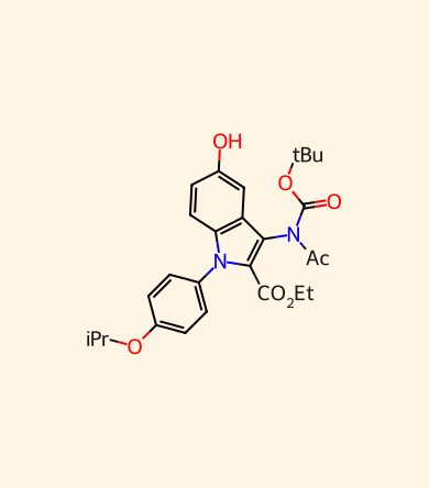 CCOC(=O)c1c(N(C(C)=O)C(=O)OC(C)(C)C)c2cc(O)ccc2n1-c1ccc(OC(C)C)cc1